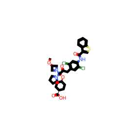 COC1CN(C(O[C@H]2CC[C@H](C(=O)O)CC2)(C(=O)Cc2cc(Cl)c(NC(=O)c3csc4ccccc34)cc2Cl)N2CCCC2)C1